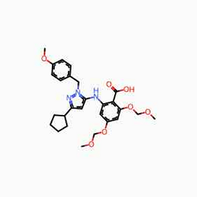 COCOc1cc(Nc2cc(C3CCCC3)nn2Cc2ccc(OC)cc2)c(C(=O)O)c(OCOC)c1